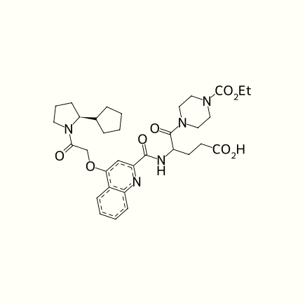 CCOC(=O)N1CCN(C(=O)C(CCC(=O)O)NC(=O)c2cc(OCC(=O)N3CCC[C@H]3C3CCCC3)c3ccccc3n2)CC1